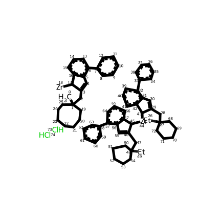 CC1(CC2=Cc3c(-c4ccccc4)cccc3[CH]2[Zr])CCCCCCC1.CCC1(CC2=Cc3c(-c4ccccc4)cccc3[CH]2[Zr][CH]2C(CC3(CC)CCCCC3)=Cc3c(-c4ccccc4)cccc32)CCCCC1.Cl.Cl